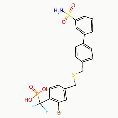 NS(=O)(=O)c1cccc(-c2ccc(CSCc3ccc(C(F)(F)P(=O)(O)O)c(Br)c3)cc2)c1